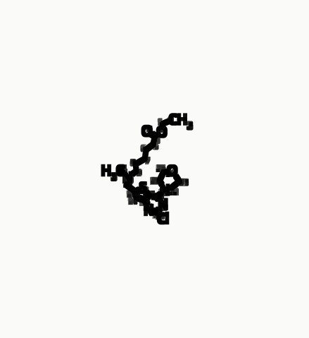 CCOC(=O)CCCCCN(C)Cc1cc2nc(Cl)nc(N3CCOCC3)c2s1